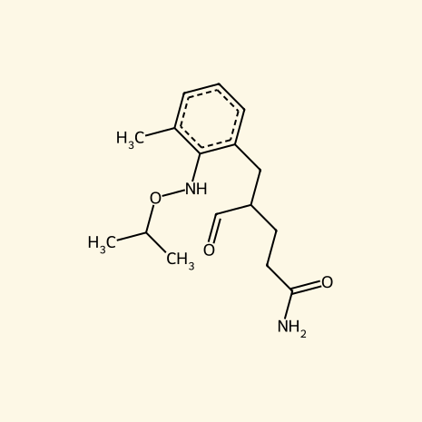 Cc1cccc(CC(C=O)CCC(N)=O)c1NOC(C)C